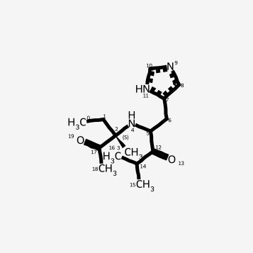 CC[C@](C)(NC(Cc1cnc[nH]1)C(=O)C(C)C)C(C)=O